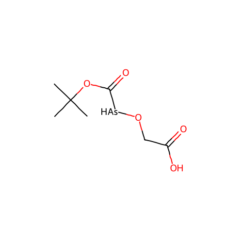 CC(C)(C)OC(=O)[AsH]OCC(=O)O